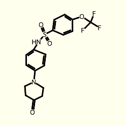 O=C1CCN(c2ccc(NS(=O)(=O)c3ccc(OC(F)(F)F)cc3)cc2)CC1